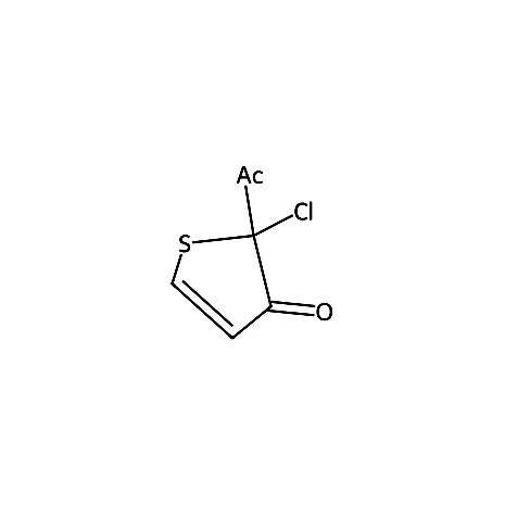 CC(=O)C1(Cl)SC=CC1=O